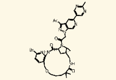 CC(=O)c1nn(CC(=O)N2C3C[C@@]34CNC(=O)C(C)(C)CCCOCc3ccc(Br)nc3NC(=O)[C@@H]2C4)c2cnc(-c3cnc(C)nc3)cc12